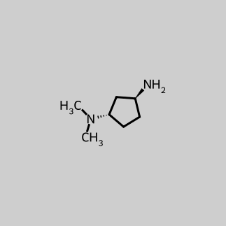 CN(C)[C@H]1CC[C@H](N)C1